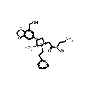 CCCCN(CCN)C(=O)CN1C[C@H](c2cc(CO)c3c(c2)OCO3)[C@@H](C(=O)O)[C@@H]1CCc1ccccn1